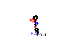 N[C@@H](Cc1ccc(OCCNC(=O)CC2(O)CCCC/C=C/C2O)cc1)C(=O)O